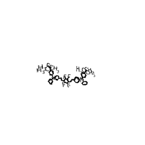 CC(C)(C)c1ccc(N(c2ccccc2)c2ccc(C=Cc3c(F)c(F)c(C=Cc4ccc(N(c5ccccc5)c5ccc(C(C)(C)C)cc5)cc4)c(F)c3F)cc2)cc1